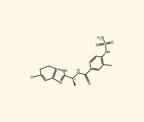 Cc1cc(C(=O)N[C@@H](C)c2nc3c([nH]2)CCC(Cl)=C3)ccc1NS(N)(=O)=O